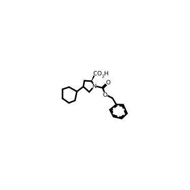 O=C(O)[C@@H]1CC(C2CCCCC2)CN1C(=O)OCc1ccccc1